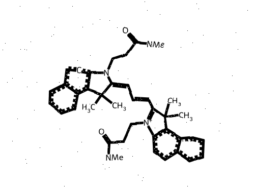 CNC(=O)CCN1/C(=C/C=C/C2=[N+](CCC(=O)NC)c3ccc4ccccc4c3C2(C)C)C(C)(C)c2c1ccc1ccccc21